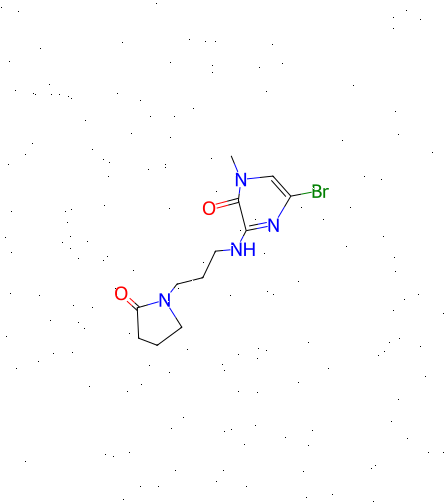 Cn1cc(Br)nc(NCCCN2CCCC2=O)c1=O